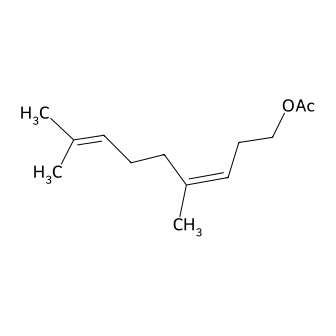 CC(=O)OCCC=C(C)CCC=C(C)C